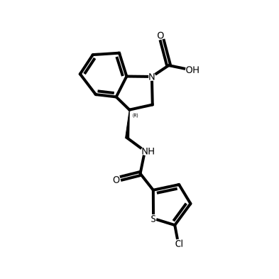 O=C(NC[C@@H]1CN(C(=O)O)c2ccccc21)c1ccc(Cl)s1